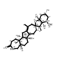 CC1=C2C[C@H]3[C@@H](CC[C@@H]4CNC(=O)CC[C@@]43C)[C@@H]2CC[C@@]2(C1)O[C@@H]1C[C@H](C)CN(O)[C@H]1[C@H]2C